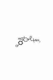 CC(C)(N)CC(=O)N1CCC(O)(c2ccc(Cl)cc2)C(C)(C)C1